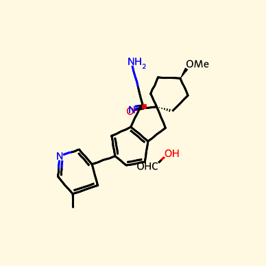 CO[C@H]1CC[C@]2(CC1)Cc1ccc(-c3cncc(C)c3)cc1C21COC(N)=N1.O=CO